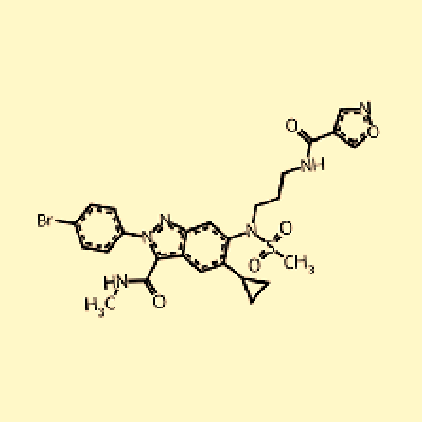 CNC(=O)c1c2cc(C3CC3)c(N(CCCNC(=O)c3cnoc3)S(C)(=O)=O)cc2nn1-c1ccc(Br)cc1